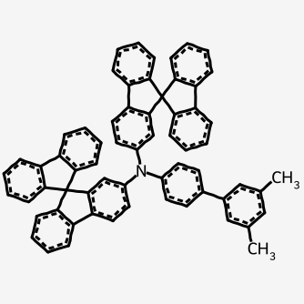 Cc1cc(C)cc(-c2ccc(N(c3ccc4c(c3)C3(c5ccccc5-c5ccccc53)c3ccccc3-4)c3ccc4c(c3)C3(c5ccccc5-c5ccccc53)c3ccccc3-4)cc2)c1